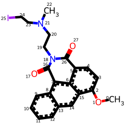 COc1ccc2c3c(c4ccccc4cc13)C(=O)N(CCN(C)CCI)C2=O